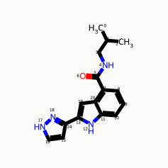 CC(C)CNC(=O)c1cccc2[nH]c(-c3cc[nH]n3)cc12